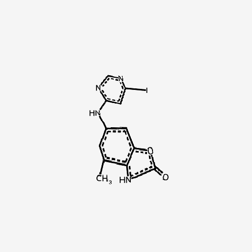 Cc1cc(Nc2cc(I)ncn2)cc2oc(=O)[nH]c12